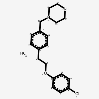 Cl.Clc1ccc(OCCc2ccc(CN3CCNCC3)cc2)cc1